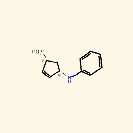 O=C(O)[C@H]1C=C[C@@H](Nc2ccccc2)C1